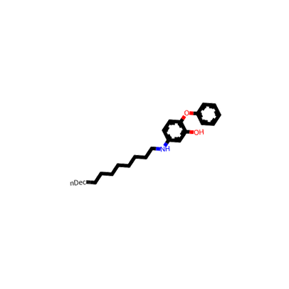 CCCCCCCCCCCCCCCCCCNc1ccc(Oc2ccccc2)c(O)c1